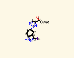 COC(=O)c1cnn(-c2ccc3[nH]nc(I)c3c2)n1